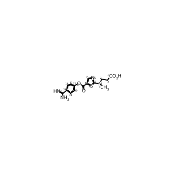 CN(CCC(=O)O)c1ncc(C(=O)Oc2ccc(C(=N)N)cc2)s1